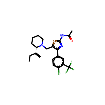 C=C(CC)[C@@H]1CCCCN1Cc1sc(NC(C)=O)nc1-c1ccc(Cl)c(C(F)(F)F)c1